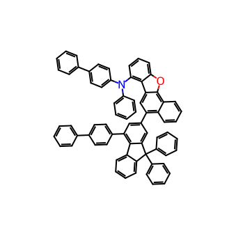 c1ccc(-c2ccc(-c3cc(-c4cc5c(oc6cccc(N(c7ccccc7)c7ccc(-c8ccccc8)cc7)c65)c5ccccc45)cc4c3-c3ccccc3C4(c3ccccc3)c3ccccc3)cc2)cc1